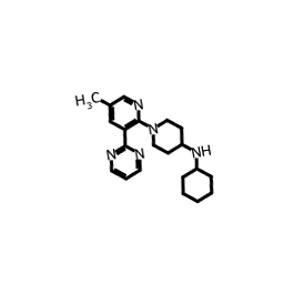 Cc1cnc(N2CCC(NC3CCCCC3)CC2)c(-c2ncccn2)c1